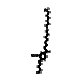 COc1cc(C(C)CCCCCCCCCCCCCCC(C)=O)ccc1OCCCCl